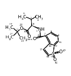 CC(C)[C@@H](NC(=O)c1cccc2c1C=CS2(=O)=O)C(=O)OC(C)(C)C